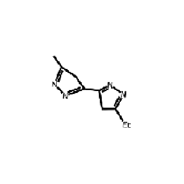 CCC1=NN=C(C2=NN=C(C)C2)C1